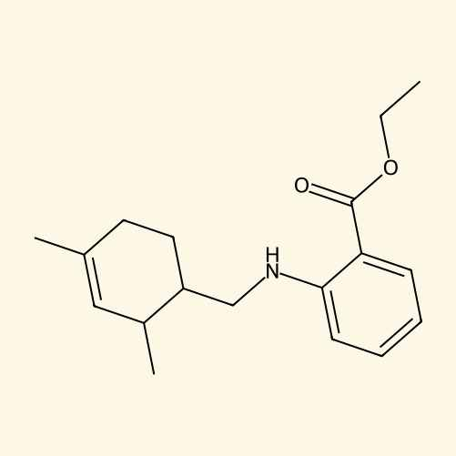 CCOC(=O)c1ccccc1NCC1CCC(C)=CC1C